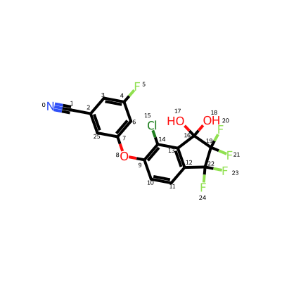 N#Cc1cc(F)cc(Oc2ccc3c(c2Cl)C(O)(O)C(F)(F)C3(F)F)c1